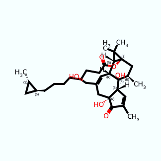 CC1=C[C@H]2[C@@]3(O)[C@H](C)C[C@]4(OC(=O)CCCCCCC[C@H]5C[C@@H]5C)[C@H]([C@H]3C=C(CO)C[C@]2(O)C1=O)C4(C)C